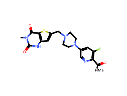 CNC(=O)c1ncc(N2CCN(Cc3cc4[nH]c(=O)n(C)c(=O)c4s3)CC2)cc1F